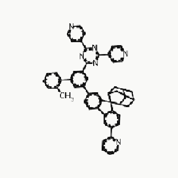 Cc1ccccc1-c1cc(-c2ccc3c(c2)C2(c4ccc(-c5ccccn5)cc4-3)C3CC4CC(C3)CC2C4)cc(-c2nc(-c3ccncc3)nc(-c3ccncc3)n2)c1